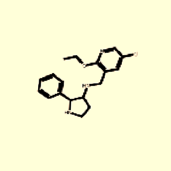 CCOc1ncc(Cl)cc1CNC1CCNC1c1ccccc1